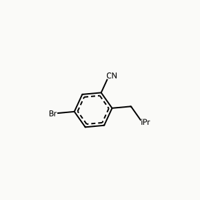 CC(C)Cc1ccc(Br)cc1C#N